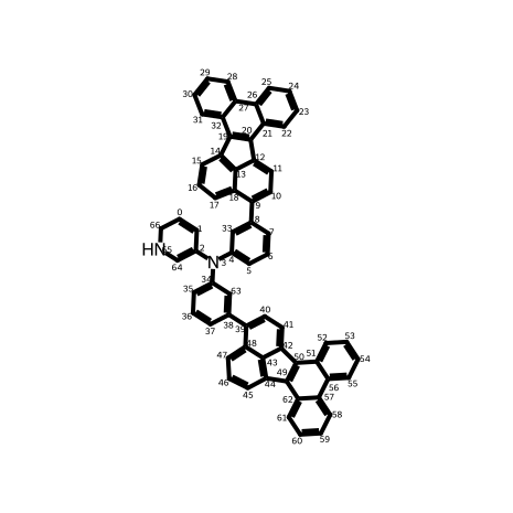 C1=CC(N(c2cccc(-c3ccc4c5c(cccc35)-c3c-4c4ccccc4c4ccccc34)c2)c2cccc(-c3ccc4c5c(cccc35)-c3c-4c4ccccc4c4ccccc34)c2)=CNC1